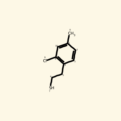 Cc1ccc(CCS)c(Cl)c1